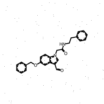 O=Cc1cn(CC(=O)NCCc2ccccc2)c2ccc(OCc3ccccc3)cc12